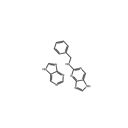 c1ccc(CNc2ncc3[nH]cnc3n2)cc1.c1ncc2[nH]cnc2n1